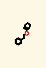 c1ccc(CCOC2CC3CCC2C3)cc1